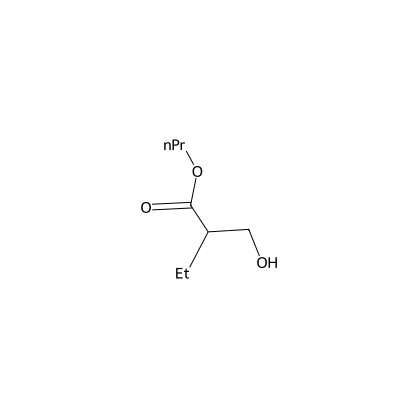 CCCOC(=O)C(CC)CO